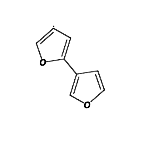 [c]1coc(-c2ccoc2)c1